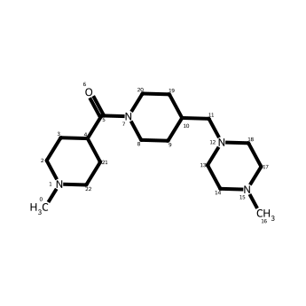 CN1CCC(C(=O)N2CCC(CN3CCN(C)CC3)CC2)CC1